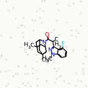 CC(C(=O)N1C2CC3(C)CC1CC(C#N)(C2)C3)c1nn(C)c2cccc(F)c12